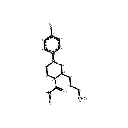 CCNC(=O)N1CCN(c2ccc(Br)cc2)CC1CCCC=O